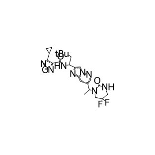 CC(c1cnn2cc(C(CC(C)(C)C)NC(=O)c3nonc3C3CC3)nc2c1)N1CC(F)(F)CNC1=O